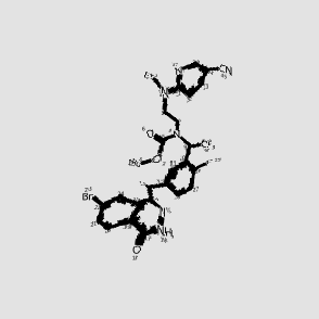 CCN(CCN(C(=O)OC(C)(C)C)C(c1cc(Cc2n[nH]c(=O)c3ccc(Br)cc23)ccc1F)C(F)(F)F)c1ccc(C#N)cn1